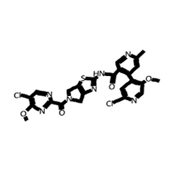 COc1cnc(Cl)cc1-c1cc(C)ncc1C(=O)Nc1nc2c(s1)CN(C(=O)c1ncc(Cl)c(OC)n1)C2